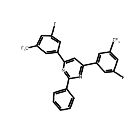 Fc1cc(-c2cc(-c3cc(F)cc(C(F)(F)F)c3)nc(-c3ccccc3)n2)cc(C(F)(F)F)c1